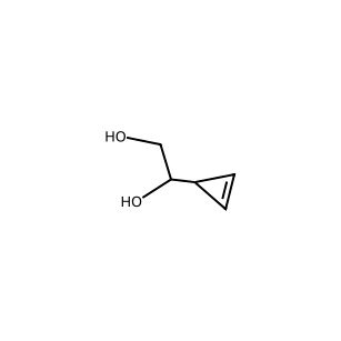 OCC(O)C1C=C1